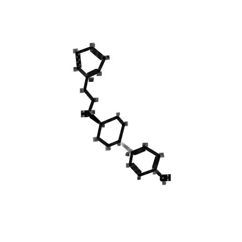 Oc1ccc([C@H]2CC[C@H](NCCc3ccccc3)CC2)cc1